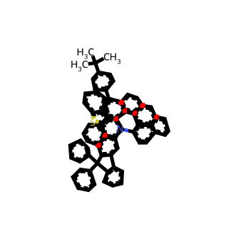 CC(C)(C)c1ccc(-c2cc(-c3ccccc3)c(N(c3ccc4c(c3)-c3ccccc3C4(c3ccccc3)c3ccccc3)c3ccc4ccccc4c3-c3ccccc3-c3cccc4sc5ccccc5c34)c(-c3ccccc3)c2)cc1